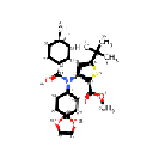 COC(=O)c1sc(C(C)(C)C)cc1N(C(=O)[C@H]1CC[C@H](C)CC1)C1CCC2(CC1)OCCO2